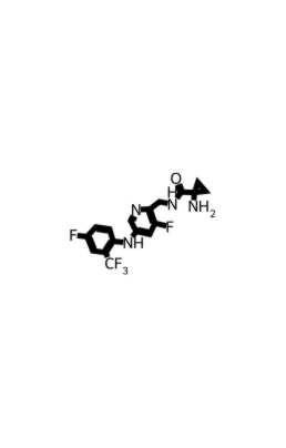 NC1(C(=O)NCc2ncc(Nc3ccc(F)cc3C(F)(F)F)cc2F)CC1